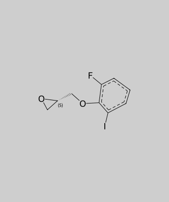 Fc1cccc(I)c1OC[C@@H]1CO1